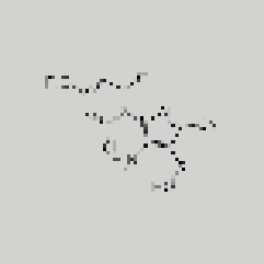 N#Cc1nn(-c2c(Cl)cc(C(F)(F)F)cc2Cl)c(N)c1SO